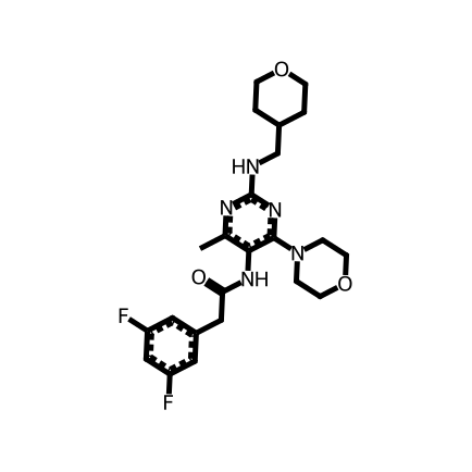 Cc1nc(NCC2CCOCC2)nc(N2CCOCC2)c1NC(=O)Cc1cc(F)cc(F)c1